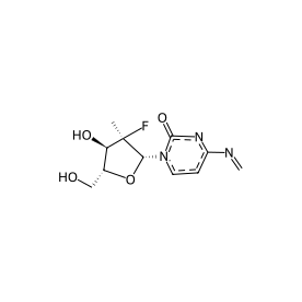 C=Nc1ccn([C@@H]2O[C@H](CO)[C@@H](O)[C@@]2(C)F)c(=O)n1